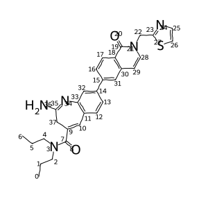 CCCN(CCC)C(=O)C1=Cc2ccc(-c3ccc4c(=O)n(Cc5nccs5)ccc4c3)cc2N=C(N)C1